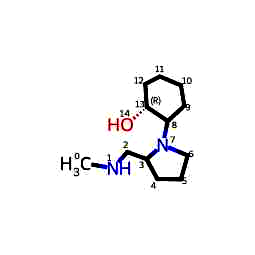 CNCC1CCCN1C1CCCC[C@H]1O